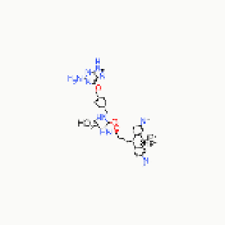 CC(C)[Si]1(C(C)C)c2cc(N(C)C)ccc2C(=CCCC(=O)NC(CS(=O)(=O)O)C(=O)NCc2ccc(COc3nc(N)nc4[nH]cnc34)cc2)c2ccc(N(C)C)cc21